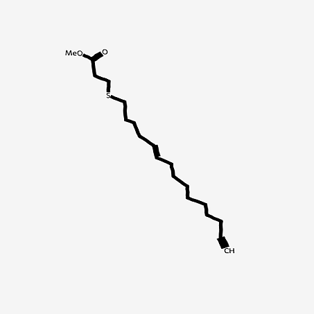 C#CCCCCCCCC=CCCCCSCCC(=O)OC